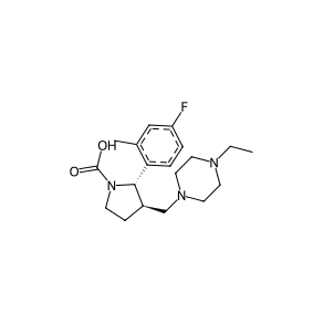 CCN1CCN(C[C@H]2CCN(C(=O)O)[C@@H]2c2ccc(F)cc2C)CC1